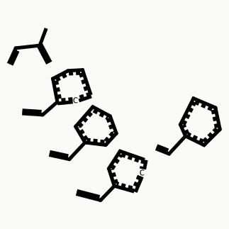 C=CC(=C)C.C=Cc1ccccc1.C=Cc1ccccc1.C=Cc1ccccc1.C=Cc1ccccc1